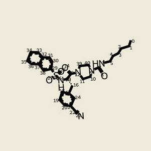 CCCCCCNC(=O)N1CCN(C(=O)[C@H](Cc2cccc(C#N)c2)NS(=O)(=O)c2ccc3ccccc3c2)CC1